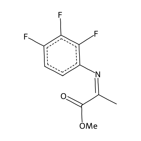 COC(=O)C(C)=Nc1ccc(F)c(F)c1F